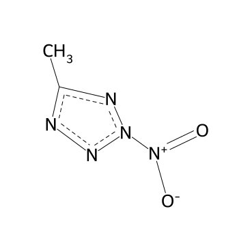 Cc1nnn([N+](=O)[O-])n1